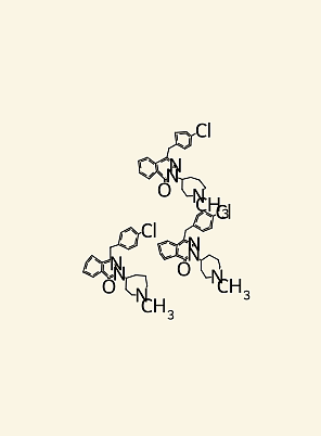 CN1CCCC(n2nc(Cc3ccc(Cl)cc3)c3ccccc3c2=O)CC1.CN1CCCC(n2nc(Cc3ccc(Cl)cc3)c3ccccc3c2=O)CC1.CN1CCCC(n2nc(Cc3ccc(Cl)cc3)c3ccccc3c2=O)CC1